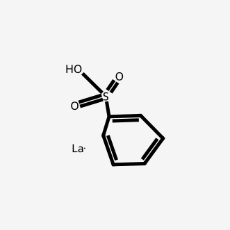 O=S(=O)(O)c1ccccc1.[La]